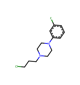 Fc1cccc(N2CCN(CCCCl)CC2)c1